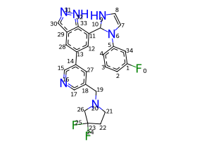 Fc1cccc(N2C=CNC2c2cc(-c3cncc(CN4CCC(F)(F)C4)c3)cc3cn[nH]c23)c1